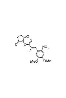 COc1cc(/C=C(\C)C(=O)ON2C(=O)CCC2=O)c([N+](=O)[O-])cc1OC